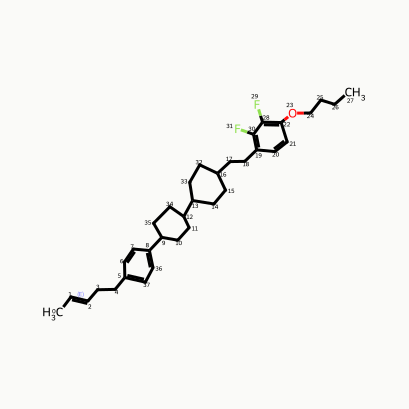 C/C=C/CCc1ccc(C2CCC(C3CCC(CCc4ccc(OCCCC)c(F)c4F)CC3)CC2)cc1